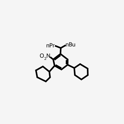 CCCCC(CCC)c1cc(C2CCCCC2)cc(C2CCCCC2)c1[N+](=O)[O-]